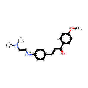 COc1ccc(C(=O)/C=C/c2ccc(NCCN(C)C)cc2)cc1